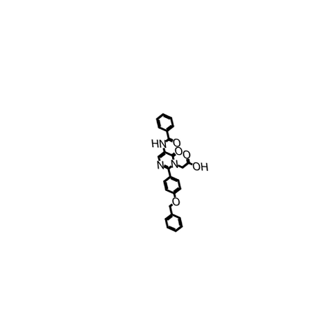 O=C(O)Cn1c(-c2ccc(OCc3ccccc3)cc2)ncc(NC(=O)c2ccccc2)c1=O